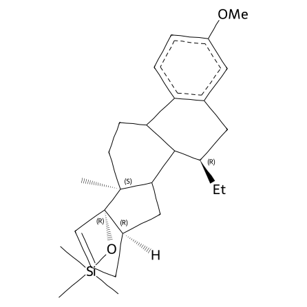 CC[C@@H]1Cc2cc(OC)ccc2C2CC[C@@]3(C)C(C[C@H]4CC=C[C@]43O[Si](C)(C)C)C21